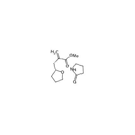 C=C(CC1CCCO1)C(=O)OC.O=C1CCCN1